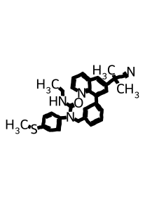 CCNC(=O)N(Cc1cccc(-c2cc(C(C)(C)C#N)cc3cccnc23)c1)c1ccc(SC)cc1